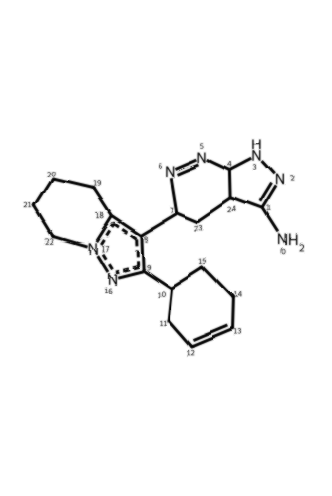 NC1=NNC2N=NC(c3c(C4CC=CCC4)nn4c3CCCC4)CC12